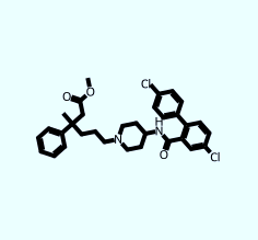 COC(=O)CC(C)(CCCN1CCC(NC(=O)c2cc(Cl)ccc2-c2ccc(Cl)cc2)CC1)c1ccccc1